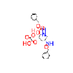 O=C(O)C(=O)O.O=C(OCc1ccccc1)O[C@H]1CC[C@@H](NOCc2ccccc2)CN1